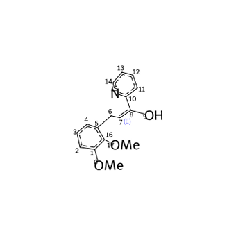 COc1cccc(C/C=C(/O)c2ccccn2)c1OC